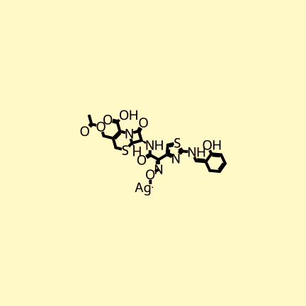 CO/N=C(\C(=O)N[C@@H]1C(=O)N2C(C(=O)O)=C(COC(C)=O)CS[C@H]12)c1csc(N/C=C2/CC=CC=C2O)n1.[Ag]